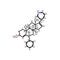 C[C@]12CCC(O)C=C1C(c1ccccc1)C[C@@H]1[C@@H]2CC[C@]2(C)C(c3cccnc3)=CC[C@@H]12